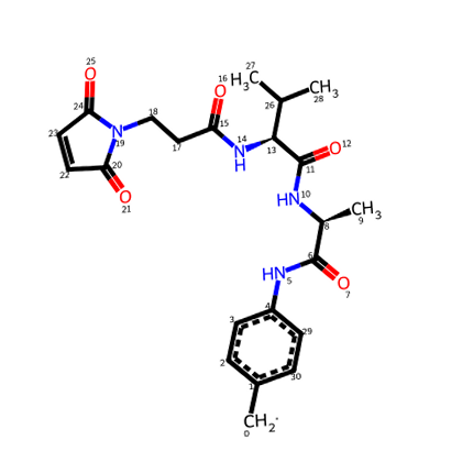 [CH2]c1ccc(NC(=O)[C@H](C)NC(=O)[C@@H](NC(=O)CCN2C(=O)C=CC2=O)C(C)C)cc1